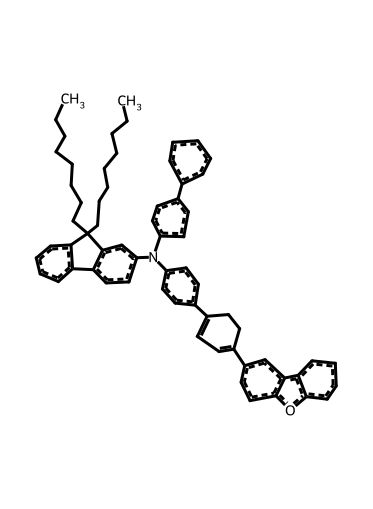 CCCCCCCCC1(CCCCCCCC)c2ccccc2-c2ccc(N(c3ccc(C4=CC=C(c5ccc6oc7ccccc7c6c5)CC4)cc3)c3ccc(-c4ccccc4)cc3)cc21